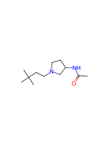 CC(=O)NC1CCN(CCC(C)(C)C)C1